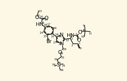 C=CCC(NC(=O)OC(C)(C)C)c1nc(-c2ccc(NC(=O)OC)cc2Br)cn1COCC[Si](C)(C)C